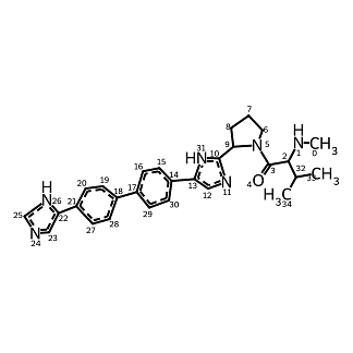 CNC(C(=O)N1CCCC1c1ncc(-c2ccc(-c3ccc(-c4cnc[nH]4)cc3)cc2)[nH]1)C(C)C